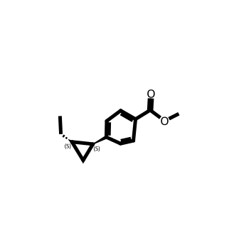 CC[C@H]1C[C@@H]1c1ccc(C(=O)OC)cc1